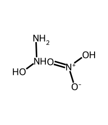 NNO.O=[N+]([O-])O